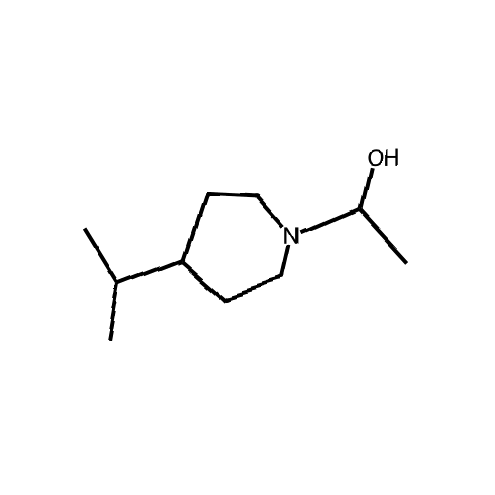 CC(C)C1CCN(C(C)O)CC1